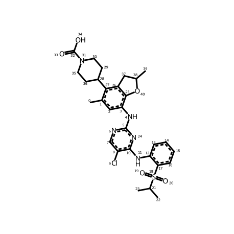 Cc1cc(Nc2ncc(Cl)c(Nc3ccccc3S(=O)(=O)C(C)C)n2)c2c(c1C1CCN(C(=O)O)CC1)CC(C)O2